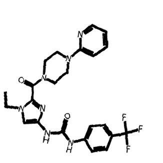 CCn1cc(NC(=O)Nc2ccc(C(F)(F)F)cc2)nc1C(=O)N1CCN(c2ccccn2)CC1